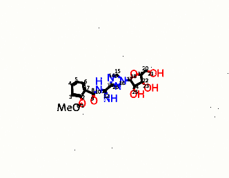 COOc1ccccc1C(=O)NC(=N)c1ncn(C2OC(CO)C(O)C2O)n1